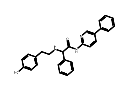 N#Cc1ccc(CCNC(C(=O)Nc2ccc(-c3ccccc3)cn2)c2ccccc2)cc1